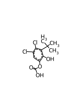 CC(C)(C)c1c(O)c(OC(=O)O)cc(Cl)c1Cl